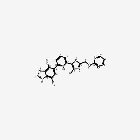 Cc1nc(COc2ncccn2)sc1-c1cccc(-c2cc(F)c3nn[nH]c3c2F)n1